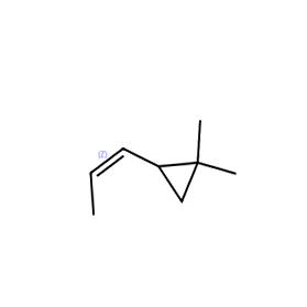 C/C=C\C1CC1(C)C